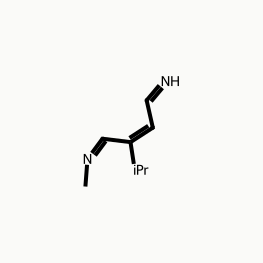 C/N=C\C(=C/C=N)C(C)C